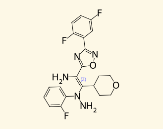 N/C(=C(/C1CCOCC1)N(N)c1ccccc1F)c1nc(-c2cc(F)ccc2F)no1